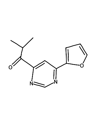 CC(C)C(=O)c1cc(-c2ccco2)ncn1